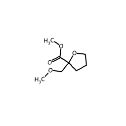 COCC1(C(=O)OC)CCCO1